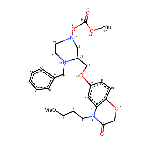 COCCCN1C(=O)COc2ccc(OCC3CN(OC(=O)OC(C)(C)C)CCN3Cc3ccccc3)cc21